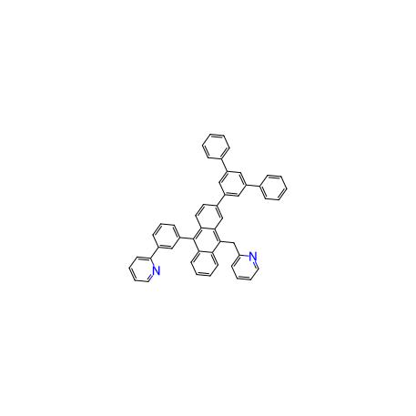 c1ccc(-c2cc(-c3ccccc3)cc(-c3ccc4c(-c5cccc(-c6ccccn6)c5)c5ccccc5c(Cc5ccccn5)c4c3)c2)cc1